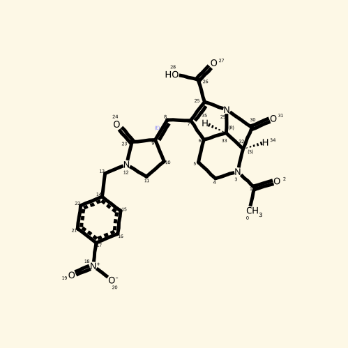 CC(=O)N1CCC2C(/C=C3\CCN(Cc4ccc([N+](=O)[O-])cc4)C3=O)=C(C(=O)O)N3C(=O)[C@@H]1[C@@H]23